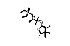 C=[PH](CP(=C)(CC)CC)C(C)(C)O[C@H]1O[C@@H](C)C(C)(C)[C@@H]1C